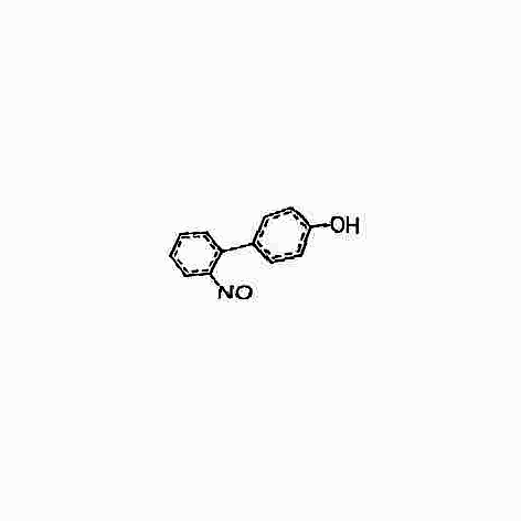 O=Nc1ccccc1-c1ccc(O)cc1